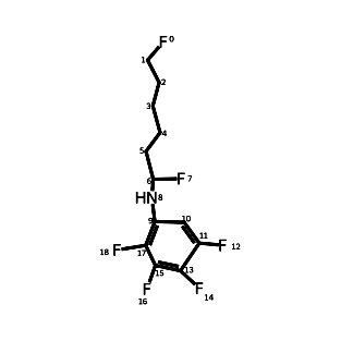 FCCCCCC(F)Nc1cc(F)c(F)c(F)c1F